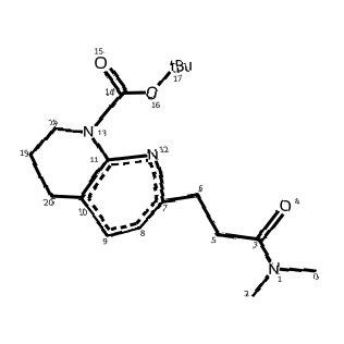 CN(C)C(=O)CCc1ccc2c(n1)N(C(=O)OC(C)(C)C)CCC2